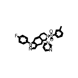 Cc1cccc(S(=O)(=O)N2CCC3=Cc4c(cnn4-c4ccc(F)cc4)C[C@]3(c3ccn[c]n3)C2)c1